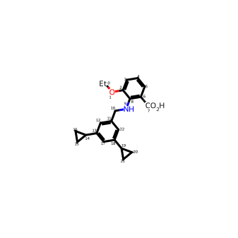 CCOc1cccc(C(=O)O)c1NCc1cc(C2CC2)cc(C2CC2)c1